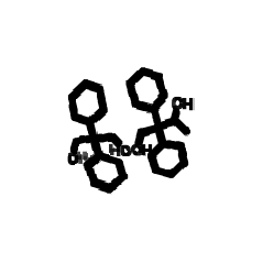 CC(O)C(CO)(C1CCCCC1)C1CCCCC1.OCC(CO)(C1CCCCC1)C1CCCCC1